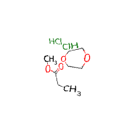 C1COCCO1.CCC(=O)OC.Cl.Cl